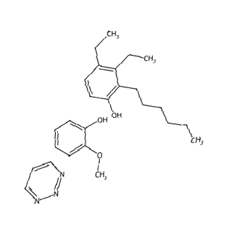 CCCCCCc1c(O)ccc(CC)c1CC.COc1ccccc1O.c1cnnnc1